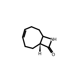 O=C1NC2CC/C=C\CC[C@@H]12